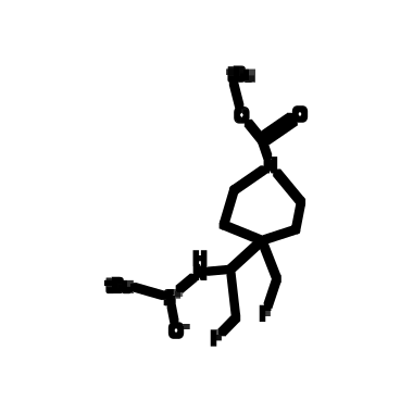 CC(C)(C)OC(=O)N1CCC(CF)(C(CF)N[S+]([O-])C(C)(C)C)CC1